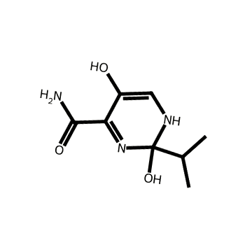 CC(C)C1(O)N=C(C(N)=O)C(O)=CN1